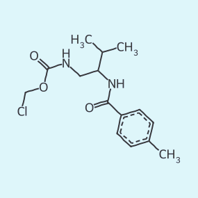 Cc1ccc(C(=O)NC(CNC(=O)OCCl)C(C)C)cc1